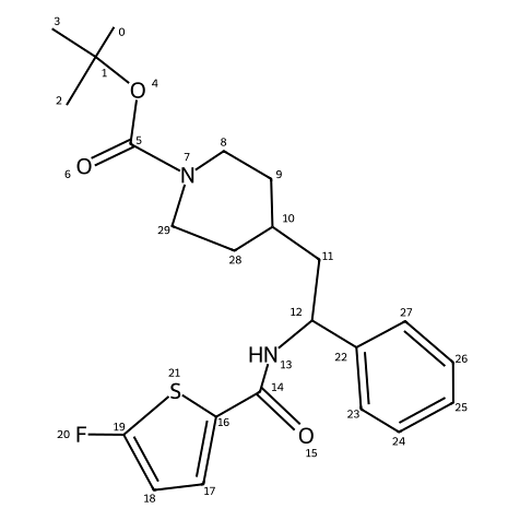 CC(C)(C)OC(=O)N1CCC(CC(NC(=O)c2ccc(F)s2)c2ccccc2)CC1